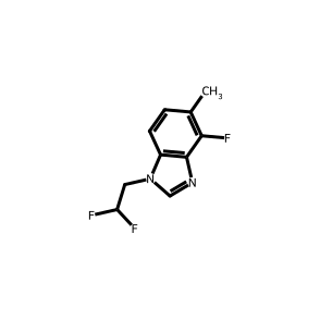 Cc1ccc2c(ncn2CC(F)F)c1F